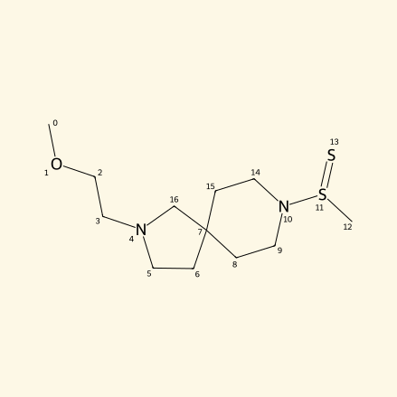 COCCN1CCC2(CCN(S(C)=S)CC2)C1